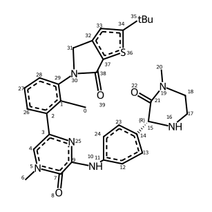 Cc1c(-c2cn(C)c(=O)c(Nc3ccc([C@H]4NCCN(C)C4=O)cc3)n2)cccc1N1Cc2cc(C(C)(C)C)sc2C1=O